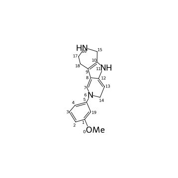 COc1cccc(N2C=c3c4c([nH]c3=CC2)CNCC4)c1